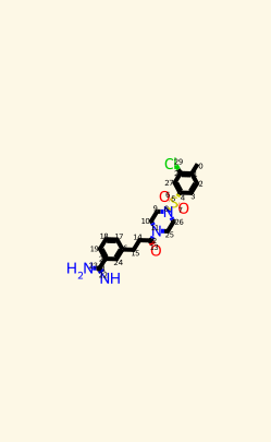 Cc1ccc(S(=O)(=O)N2CCN(C(=O)CCc3cccc(C(=N)N)c3)CC2)cc1Cl